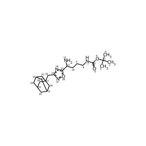 CC(C)(C)OC(=O)NCCCC(N)c1nc(CC23CC4CC(CC(C4)C2)C3)no1